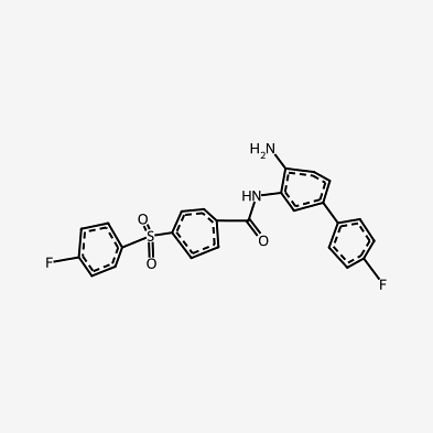 Nc1ccc(-c2ccc(F)cc2)cc1NC(=O)c1ccc(S(=O)(=O)c2ccc(F)cc2)cc1